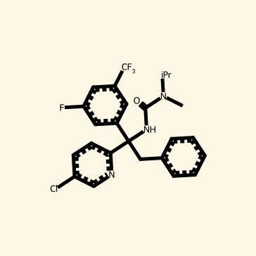 CC(C)N(C)C(=O)NC(Cc1ccccc1)(c1cc(F)cc(C(F)(F)F)c1)c1ccc(Cl)cn1